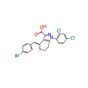 O=C(O)c1nn(-c2ccc(Cl)cc2Cl)c2c1C(=Cc1ccc(Br)cc1)SCC2